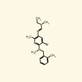 CCN(C)/C=N/c1cc(Br)c(N(C)Cc2ccccc2C)nc1C